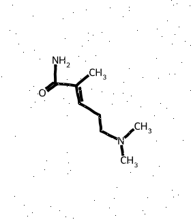 C/C(=C\CCN(C)C)C(N)=O